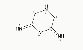 N=C1CNCC(=N)[N]1